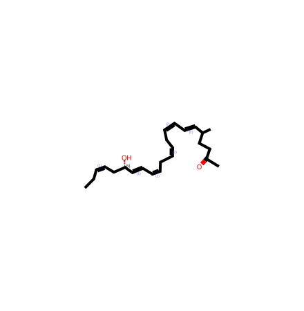 CC/C=C\C[C@H](O)/C=C/C=C\C/C=C\C/C=C\C=C\C(C)CCC(C)=O